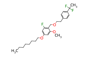 CCCCCCCCOc1cc(F)c(COCCc2ccc(C(C)(F)F)cc2)c(OC)c1